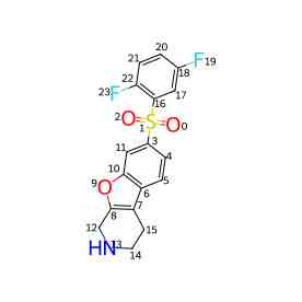 O=S(=O)(c1ccc2c3c(oc2c1)CNCC3)c1cc(F)ccc1F